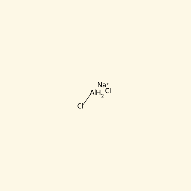 [AlH2][Cl].[Cl-].[Na+]